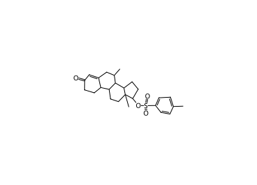 Cc1ccc(S(=O)(=O)OC2CCC3C4C(C)CC5=CC(=O)CCC5C4CCC23C)cc1